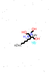 CCCCCCCCCCCCCCCCC(CCO)C(N)(CCO)N(CCC)CCO.F.F